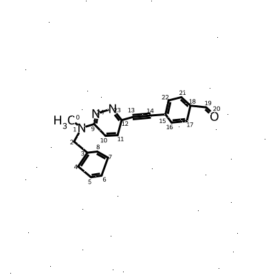 CN(Cc1ccccc1)c1ccc(C#Cc2ccc(C=O)cc2)nn1